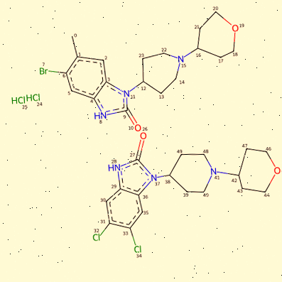 Cc1cc2c(cc1Br)[nH]c(=O)n2C1CCN(C2CCOCC2)CC1.Cl.Cl.O=c1[nH]c2cc(Cl)c(Cl)cc2n1C1CCN(C2CCOCC2)CC1